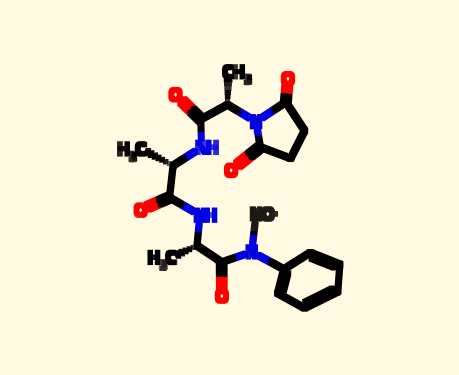 C[C@H](NC(=O)[C@H](C)N1C(=O)CCC1=O)C(=O)N[C@@H](C)C(=O)N([N+]=O)c1ccccc1